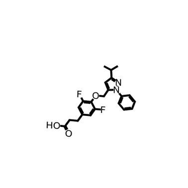 CC(C)c1cc(COc2c(F)cc(CCC(=O)O)cc2F)n(-c2ccccc2)n1